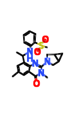 Cc1cc(C(C)Nc2ccccc2S(C)(=O)=O)c2nc(N3CC4CC4C3)n(C)c(=O)c2c1